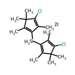 CC1=C(Cl)C(C)(C)C(C)=C1[SiH2]C1=C(C)C(C)(C)C(Cl)=C1C.[Zr]